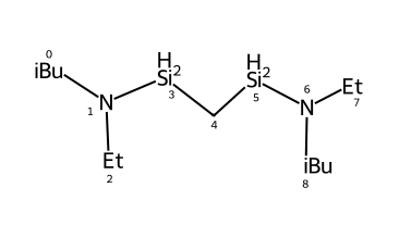 CCC(C)N(CC)[SiH2]C[SiH2]N(CC)C(C)CC